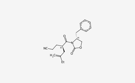 C=C(CC)C[C@@H](CCC#N)C(=O)N1C(=O)OC[C@H]1Cc1ccccc1